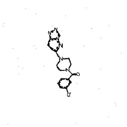 O=C(c1cccc(Cl)c1)N1CCN(c2ccc3nncn3n2)CC1